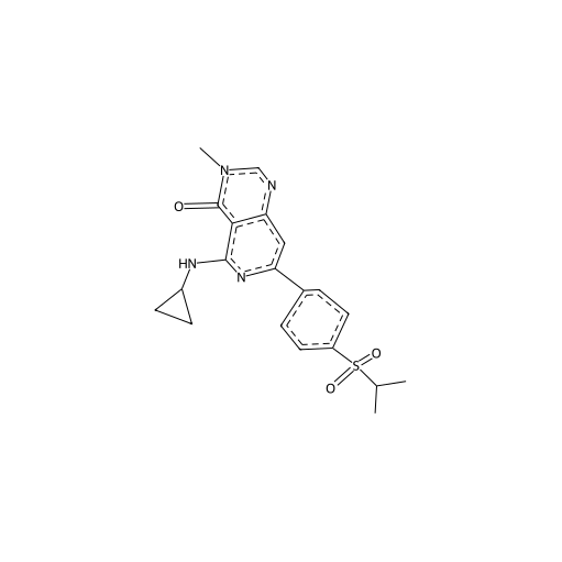 CC(C)S(=O)(=O)c1ccc(-c2cc3ncn(C)c(=O)c3c(NC3CC3)n2)cc1